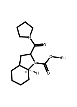 CC(C)(C)OC(=O)N1C(C(=O)N2CCCC2)CC2CCCC[C@@H]21